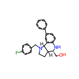 OC[C@@H]1Nc2ccc(-c3ccccc3)cc2[C@@H]2[C@H]1CCN2Cc1ccc(F)cc1